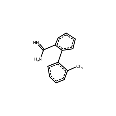 N=C(N)c1ccccc1-c1ccccc1C(F)(F)F